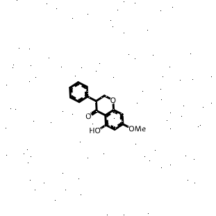 COc1cc(O)c2c(c1)OCC(c1ccccc1)C2=O